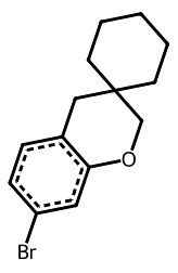 Brc1ccc2c(c1)OCC1(CCCCC1)C2